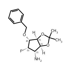 CC1(C)O[C@H]2[C@@H](O1)[C@H](N)[C@H](F)[C@@H]2OCc1ccccc1